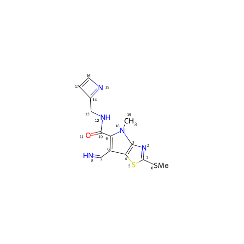 CSc1nc2c(s1)c(C=N)c(C(=O)NCC1=NC=C1)n2C